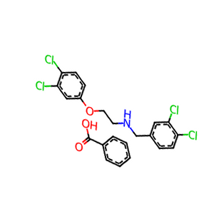 Clc1ccc(CNCCOc2ccc(Cl)c(Cl)c2)cc1Cl.O=C(O)c1ccccc1